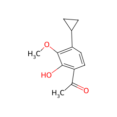 COc1c(C2CC2)ccc(C(C)=O)c1O